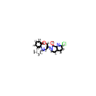 CN1C[C@H](N2CCc3ccc(Cl)nc3C2=O)COc2ccccc21